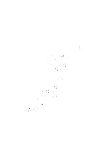 COc1ccc(NC(=O)N2CCN(Cc3nc(NCCCN(C)C)c4ccccc4n3)CC2)cc1